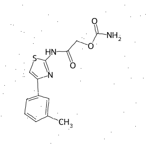 Cc1cccc(-c2csc(NC(=O)COC(N)=O)n2)c1